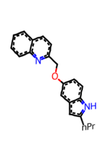 CCCc1cc2cc(OCc3ccc4ccccc4n3)ccc2[nH]1